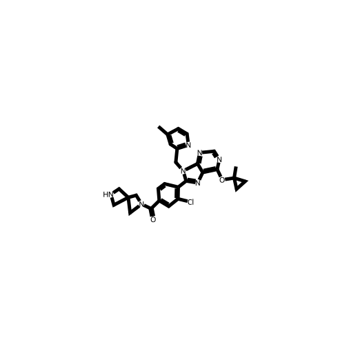 Cc1ccnc(Cn2c(-c3ccc(C(=O)N4CC5(CNC5)C4)cc3Cl)nc3c(OC4(C)CC4)ncnc32)c1